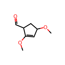 COC1=CC(OC)CC1C=O